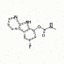 CNC(=O)Oc1cc(F)cc2c1[nH]c1ncccc12